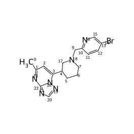 Cc1cc(C2CCCN(Cc3ccc(Br)cn3)C2)n2ncnc2n1